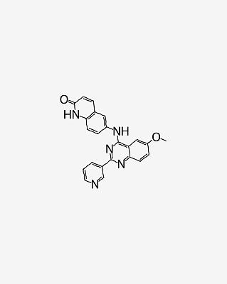 COc1ccc2nc(-c3cccnc3)nc(Nc3ccc4[nH]c(=O)ccc4c3)c2c1